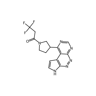 O=C(CC(F)(F)F)N1CCC(c2ncnc3nnc4[nH]ccc4c23)C1